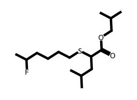 CC(C)COC(=O)C(CC(C)C)SCCCCC(C)F